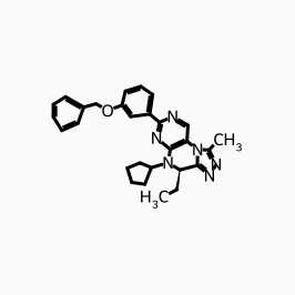 CC[C@@H]1c2nnc(C)n2-c2cnc(-c3cccc(OCc4ccccc4)c3)nc2N1C1CCCC1